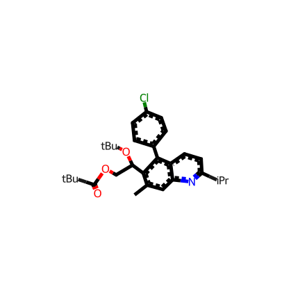 Cc1cc2nc(C(C)C)ccc2c(-c2ccc(Cl)cc2)c1C(COC(=O)C(C)(C)C)OC(C)(C)C